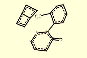 O=c1cccnn1-c1ccccc1C(F)(F)F.c1cc2ccc1-2